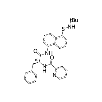 CC(C)(C)NSc1cccc2c(NC(=O)[C@H](Cc3ccccc3)NC(=O)c3ccccn3)cccc12